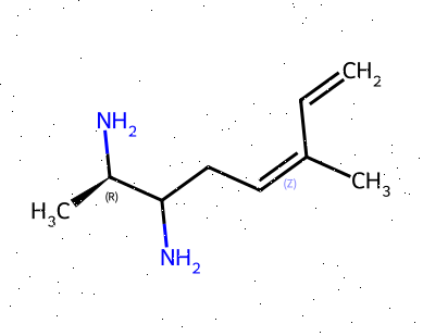 C=C/C(C)=C\CC(N)[C@@H](C)N